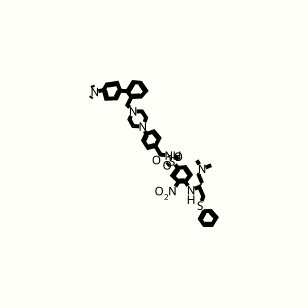 CN(C)CC[C@H](CSc1ccccc1)Nc1ccc(S(=O)(=O)NC(=O)c2ccc(N3CCN(Cc4ccccc4-c4ccc(N(C)C)cc4)CC3)cc2)cc1[N+](=O)[O-]